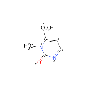 Cn1c(C(=O)O)ccnc1=O